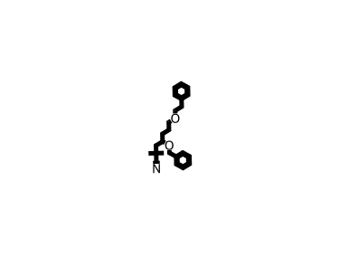 CC(C)(C#N)CC(CCCOCCc1ccccc1)OCc1ccccc1